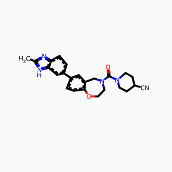 Cc1nc2ccc(-c3ccc4c(c3)CN(C(=O)N3CCC(C#N)CC3)CCO4)cc2[nH]1